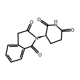 O=C1CC[C@@H](N2C(=O)Cc3ccccc3C2=O)C(=O)N1